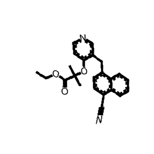 CCOC(=O)C(C)(C)Oc1ccncc1Cc1ccc(C#N)c2ccccc12